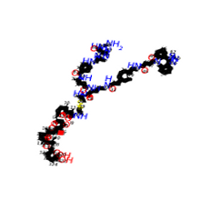 CO[C@@H]1C[C@@H](C[C@H]2CC[C@H](C)C([C@@H](C)C(=O)NCCSSC[C@@H](C)NC(=O)C(CCCNC(=O)CCC3CCCC(CCNC(=O)CCC(=O)N4Cc5ccccc5-c5nnn(C)c5-c5ccccc54)CCC3)NC(=O)CC[C@@H](C)NC(=O)c3ccc(NCc4cnc5nc(N)[nH]c(=O)c5n4)cc3)O2)O[C@]2(O[C@@](C)(C3CC[C@@](C)([C@@H]4O[C@@H]([C@@H]5O[C@@](O)(CO)[C@H](C)C[C@@H]5C)C[C@@H]4C)O3)C[C@H]2C)[C@@H]1C